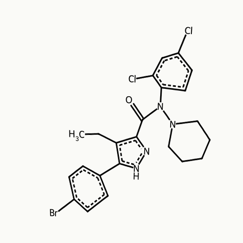 CCc1c(C(=O)N(c2ccc(Cl)cc2Cl)N2CCCCC2)n[nH]c1-c1ccc(Br)cc1